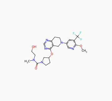 COc1ncc(N2CCc3ncnc(OC4CCN(C(=O)N(C)CCO)C4)c3C2)cc1C(F)(F)F